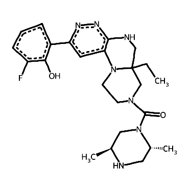 CCC12CNc3nnc(-c4cccc(F)c4O)cc3N1CCN(C(=O)N1C[C@H](C)NC[C@H]1C)C2